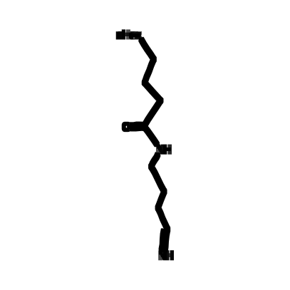 CCCCCCCCCC(=O)NCCCC=N